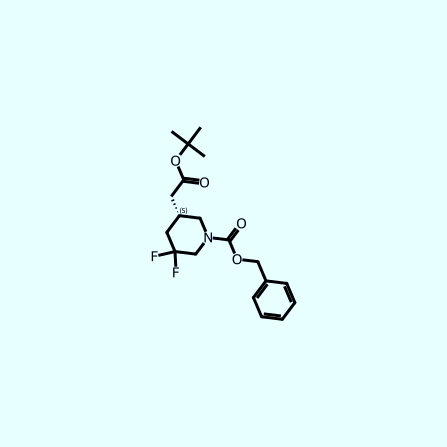 CC(C)(C)OC(=O)C[C@@H]1CN(C(=O)OCc2ccccc2)CC(F)(F)C1